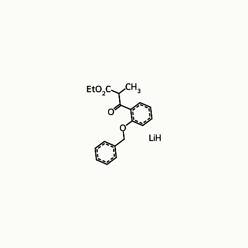 CCOC(=O)C(C)C(=O)c1ccccc1OCc1ccccc1.[LiH]